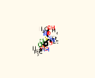 CCN(CC)C(=O)c1nc(-c2nnc(C(C)(C)O)o2)sc1-c1ccc(S(=O)(=O)NC(C)C(F)(F)F)c(Cl)c1Cl